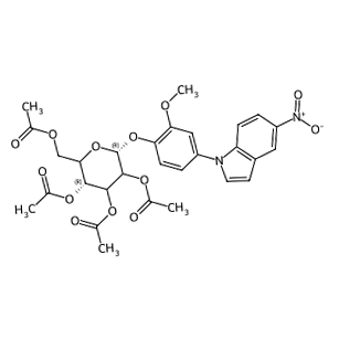 COc1cc(-n2ccc3cc([N+](=O)[O-])ccc32)ccc1O[C@H]1OC(COC(C)=O)[C@@H](OC(C)=O)C(OC(C)=O)C1OC(C)=O